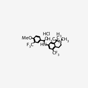 COc1ccc(C(=O)Nc2cc(C(F)(F)F)c3c(c2)C(C)(C)N(C)CC3)cc1C(F)(F)F.Cl